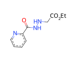 CCOC(=O)CNNC(=O)c1ccccn1